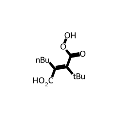 CCCCC(C(=O)O)=C(C(=O)OO)C(C)(C)C